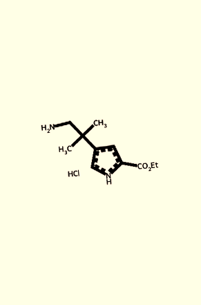 CCOC(=O)c1cc(C(C)(C)CN)c[nH]1.Cl